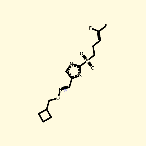 O=S(=O)(CCC=C(F)F)c1ncc(/C=N/OCC2CCC2)s1